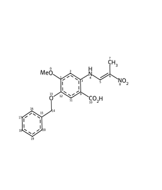 COc1cc(NC=C(C)[N+](=O)[O-])c(C(=O)O)cc1OCc1ccccc1